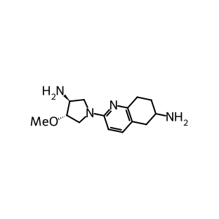 CO[C@H]1CN(c2ccc3c(n2)CCC(N)C3)C[C@@H]1N